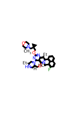 C#Cc1c(F)ccc2cccc(-c3nc4c5c(nc(OCC6(CN7CCOC[C@H]7C)CC6)nc5c3CC)N3C[C@@H](CC)NC[C@H]3CO4)c12